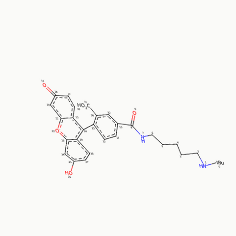 CC(C)(C)NCCCCCNC(=O)c1ccc(-c2c3ccc(=O)cc-3oc3cc(O)ccc23)c(C(=O)O)c1